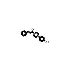 O=C(C[CH]c1ccccc1)N1CCN(c2ccc(O)cc2)CC1